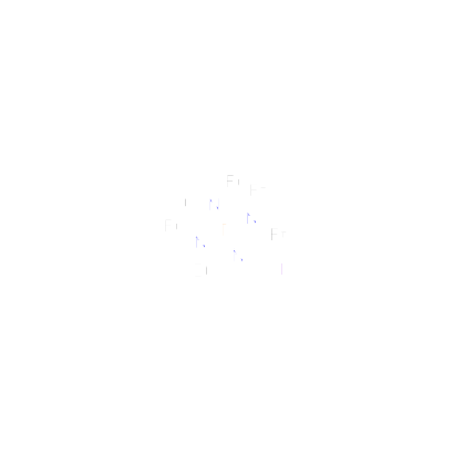 CCN(CC)[P+](N(C)C)(N(CC)CC)N(CC)CC.[I-]